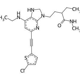 CCNc1cc(C#Cc2ccc(Cl)s2)nc2c1NCN2CCC(CC)C(=O)NC